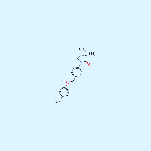 CCCc1ccc(OCc2ccc(N3CC(C)=C(C)C3=O)cc2)cc1